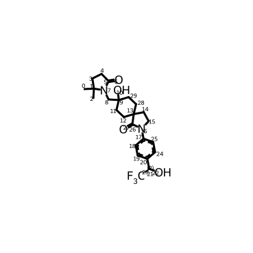 CC1(C)CCC(=O)N1CC1(O)CCC2(CCN(c3ccc([C@@H](O)C(F)(F)F)cc3)C2=O)CC1